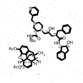 CC(=O)Oc1ccc2c3c1O[C@H]1[C@@H](OC(C)=O)C=C[C@H]4[C@@H](C2)N(C)CC[C@@]341.CC(C)(C)NC(=O)[C@@H]1CN(Cc2cccnc2)CCN1C[C@@H](O)C[C@@H](Cc1ccccc1)C(=O)N[C@H]1c2ccccc2C[C@H]1O